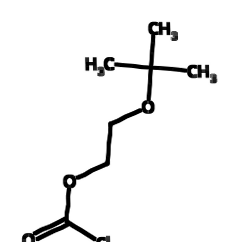 CC(C)(C)OCCOC(=O)Cl